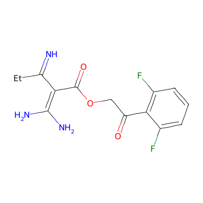 CCC(=N)C(C(=O)OCC(=O)c1c(F)cccc1F)=C(N)N